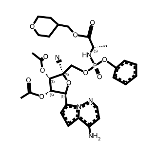 CC(=O)O[C@H]1[C@H](c2ccc3c(N)ccnn23)O[C@](C#N)(COP(=O)(N[C@@H](C)C(=O)OCC2CCOCC2)Oc2ccccc2)[C@H]1OC(C)=O